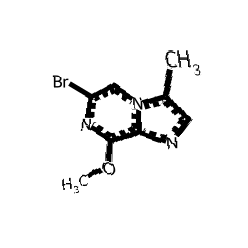 COc1nc(Br)cn2c(C)cnc12